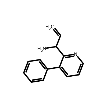 C=CC(N)c1ncccc1-c1ccccc1